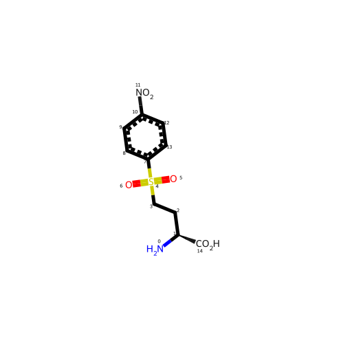 N[C@@H](CCS(=O)(=O)c1ccc([N+](=O)[O-])cc1)C(=O)O